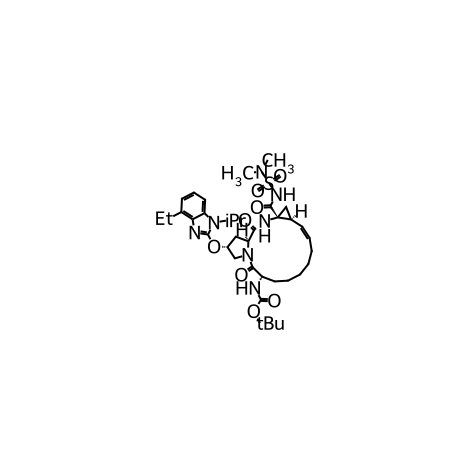 CCc1cccc2c1nc(O[C@@H]1C[C@H]3C(=O)N[C@]4(C(=O)NS(=O)(=O)N(C)C)C[C@H]4/C=C\CCCCC[C@H](NC(=O)OC(C)(C)C)C(=O)N3C1)n2C(C)C